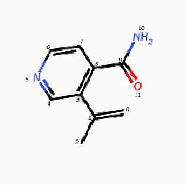 C=C(C)c1cnccc1C(N)=O